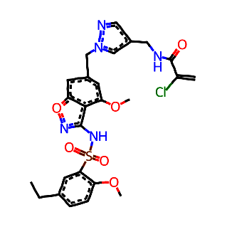 C=C(Cl)C(=O)NCc1cnn(Cc2cc(OC)c3c(NS(=O)(=O)c4cc(CC)ccc4OC)noc3c2)c1